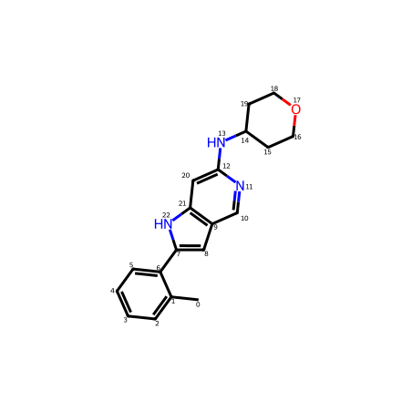 Cc1ccccc1-c1cc2cnc(NC3CCOCC3)cc2[nH]1